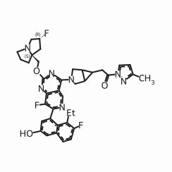 CCc1c(F)ccc2cc(O)cc(-c3ncc4c(N5CC6C(CC(=O)n7ccc(C)n7)C6C5)nc(OC[C@@]56CCCN5C[C@H](F)C6)nc4c3F)c12